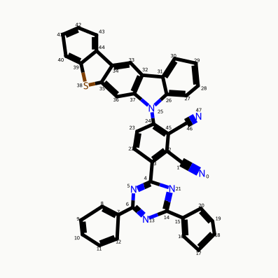 N#Cc1c(-c2nc(-c3ccccc3)nc(-c3ccccc3)n2)ccc(-n2c3ccccc3c3cc4c(cc32)sc2ccccc24)c1C#N